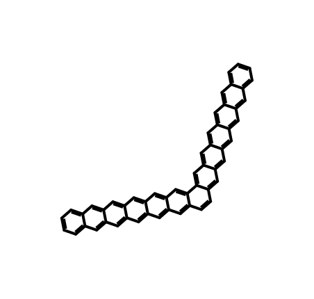 c1ccc2cc3cc4cc5cc6cc7c(ccc8cc9cc%10cc%11cc%12cc%13ccccc%13cc%12cc%11cc%10cc9cc87)cc6cc5cc4cc3cc2c1